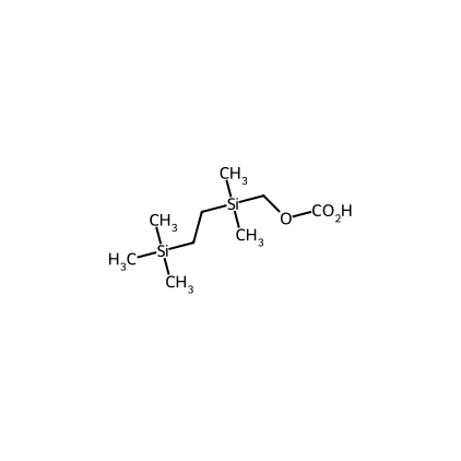 C[Si](C)(C)CC[Si](C)(C)COC(=O)O